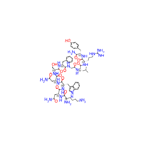 CC(C)C[C@H](NC(=O)CNC(=O)[C@H](Cc1ccccc1)NC(=O)[C@H](CO)NC(=O)[C@H](CC(N)=O)NC(=O)[C@H](Cc1c[nH]c2ccccc12)NC(=O)[C@H](CC(N)=O)NC(=O)[C@@H](N)CCCCN)C(=O)N[C@@H](CCCNC(=N)N)C(=O)N[C@@H](Cc1ccc(O)cc1)C(N)=O